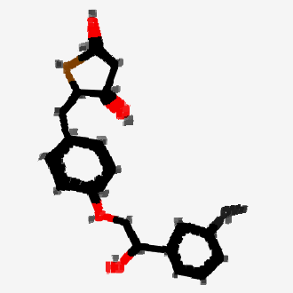 COc1cccc(C(O)COc2ccc(CC3SC(=O)CC3=O)cc2)c1